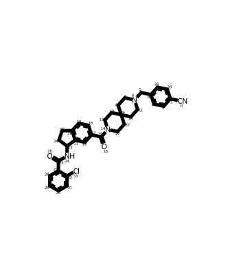 N#Cc1ccc(CN2CCC3(CC2)CCN(C(=O)c2ccc4c(c2)C(NC(=O)c2ccccc2Cl)CC4)CC3)cc1